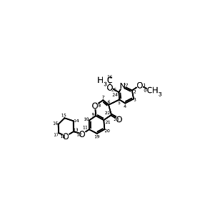 COc1ccc(-c2coc3cc(OC4CCCCO4)ccc3c2=O)c(OC)n1